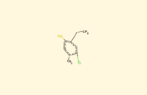 Cc1cc(S)c(CC(F)(F)F)cc1Cl